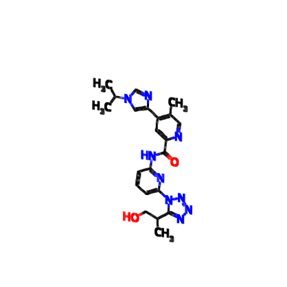 Cc1cnc(C(=O)Nc2cccc(-n3nnnc3C(C)CO)n2)cc1-c1cn(C(C)C)cn1